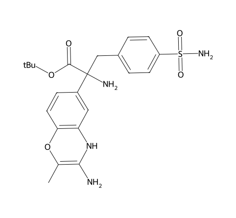 CC1=C(N)Nc2cc(C(N)(Cc3ccc(S(N)(=O)=O)cc3)C(=O)OC(C)(C)C)ccc2O1